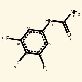 NC(=O)Nc1cc(F)c(F)c(F)c1